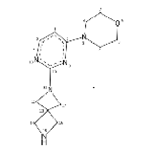 c1cc(N2CCOCC2)nc(N2CC3(CNC3)C2)n1